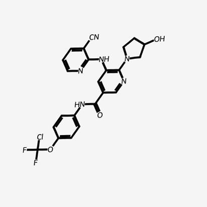 N#Cc1cccnc1Nc1cc(C(=O)Nc2ccc(OC(F)(F)Cl)cc2)cnc1N1CCC(O)C1